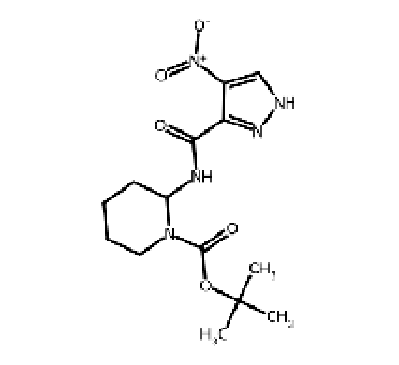 CC(C)(C)OC(=O)N1CCCCC1NC(=O)c1n[nH]cc1[N+](=O)[O-]